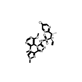 C=C[C@H]([C@@H](C)c1ncc(Cl)cn1)S(=O)(=O)Nc1nnc(-c2ccn(C)n2)n1-c1c(OC)ncnc1OC